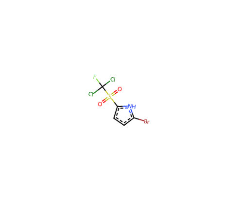 O=S(=O)(c1ccc(Br)[nH]1)C(F)(Cl)Cl